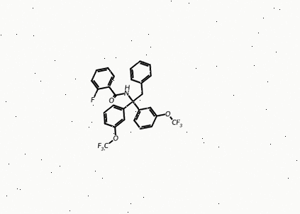 O=C(NC(Cc1ccccc1)(c1cccc(OC(F)(F)F)c1)c1cccc(OC(F)(F)F)c1)c1ccccc1F